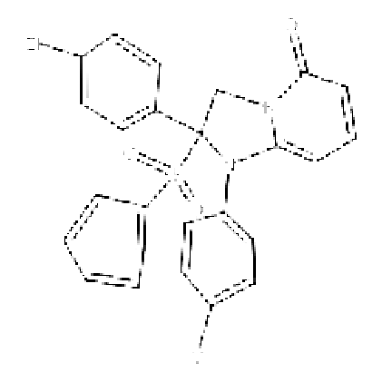 O=c1cccc2n1CC(c1ccc(Cl)cc1)(S(=O)(=O)c1ccccc1)N2c1ccc(Cl)cc1